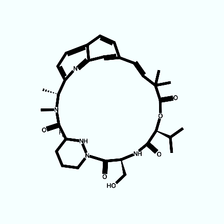 CC(C)[C@@H]1OC(=O)C(C)(C)/C=C/c2ccc3ccc(nc3c2)[C@@H](C)N(C)C(=O)[C@@H]2CCCN(N2)C(=O)[C@H](CO)NC1=O